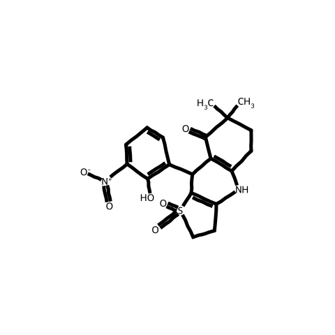 CC1(C)CCC2=C(C1=O)C(c1cccc([N+](=O)[O-])c1O)C1=C(CCS1(=O)=O)N2